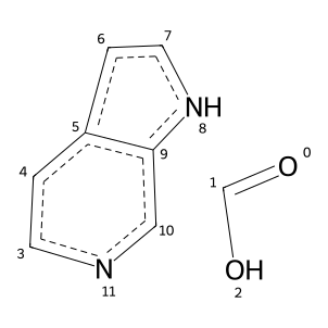 O=CO.c1cc2cc[nH]c2cn1